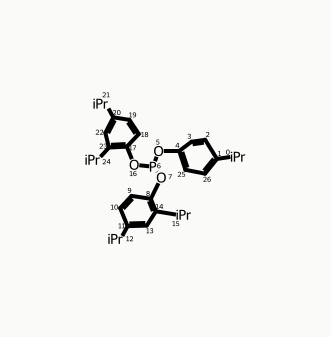 CC(C)c1ccc(OP(Oc2ccc(C(C)C)cc2C(C)C)Oc2ccc(C(C)C)cc2C(C)C)cc1